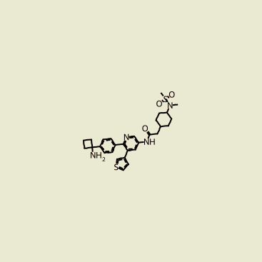 CN(C1CCC(CC(=O)Nc2cnc(-c3ccc(C4(N)CCC4)cc3)c(-c3ccsc3)c2)CC1)S(C)(=O)=O